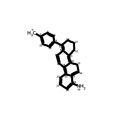 Cc1ccc(C2=c3ccc4c(c3CCC2)CC=c2c(N)cccc2=4)cc1